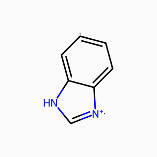 [c]1ccc2c(c1)NC=[N+]2